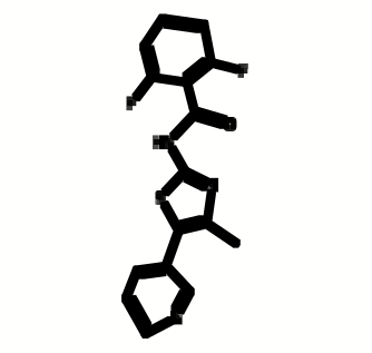 Cc1nc(NC(=O)c2c(F)cccc2F)sc1-c1cccnc1